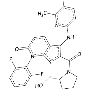 Cc1nc(Nc2c(C(=O)N3CCC[C@@H]3CO)sc3c2ccc(=O)n3-c2c(F)cccc2F)ccc1F